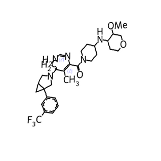 C=C(/C(C)=C(\N=C/N)C(=O)N1CCC(NC2CCOCC2OC)CC1)N1CC2CC2(c2cccc(C(F)(F)F)c2)C1